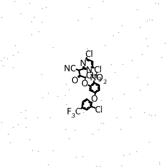 CC(Oc1cc(Oc2ccc(C(F)(F)F)cc2Cl)ccc1[N+](=O)[O-])C(=O)C(C#N)c1nc(Cl)cc(Cl)n1